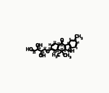 Cc1ccc2[nH]c3c(c2c1)C(=O)c1ccc(OC[C@@H](O)[C@H](O)CO)cc1C3(C)C